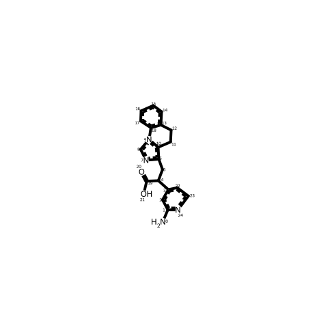 Nc1cc(C(Cc2ncn3c2CCc2ccccc2-3)C(=O)O)ccn1